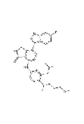 COCCCC(C)c1ccc(Nc2ccc(-c3cnc4cc(F)ccn34)c3c2C(=O)NC3)nc1CN(C)C